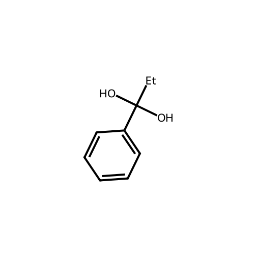 CCC(O)(O)c1ccccc1